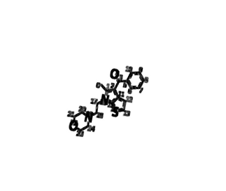 Cc1c(C(=O)c2ccccc2)c2ccsc2n1CCN1CCOCC1